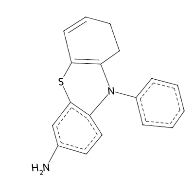 Nc1ccc2c(c1)SC1=C(CCC=C1)N2c1ccccc1